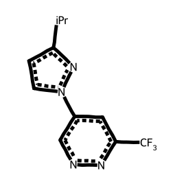 CC(C)c1ccn(-c2cnnc(C(F)(F)F)c2)n1